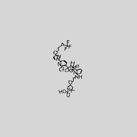 CC1(C)CC(OCCNc2cccc(S(=O)(=O)NC(=O)c3ccc(-n4ccc(OCCC5CC5C(F)(F)F)n4)nc3Cl)n2)CN1C(=O)O